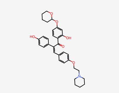 O=C(C(=Cc1ccc(OCCN2CCCCC2)cc1)c1ccc(O)cc1)c1ccc(OC2CCCCO2)cc1O